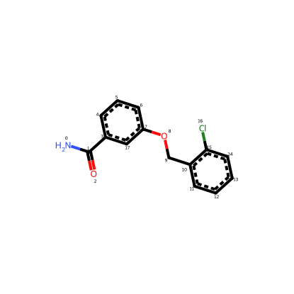 NC(=O)c1cccc(OCc2ccccc2Cl)c1